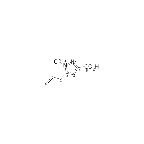 C=CCc1cc(C(=O)O)nn1Cl